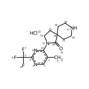 Cc1cnc(C(F)(F)F)nc1N1CCC2(CCNCC2)C1=O.Cl